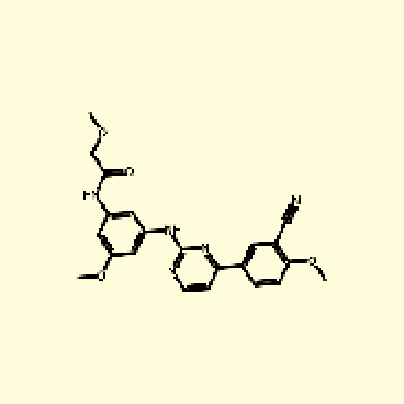 COCC(=O)Nc1cc(Nc2nccc(-c3ccc(OC)c(C#N)c3)n2)cc(OC)c1